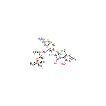 C=CC1=C(C(=O)O)N2C(=O)C(NC(=O)C(=NOC(C)C(=O)OC(C)(C)C)c3nc(N)sc3Cl)[C@@H]2SC1